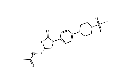 CCS(=O)(=O)N1CCN(c2ccc(N3C[C@H](CNC(C)=S)OC3=O)cc2)CC1